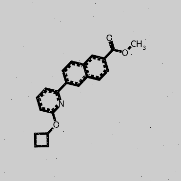 COC(=O)c1ccc2cc(-c3cccc(OC4CCC4)n3)ccc2c1